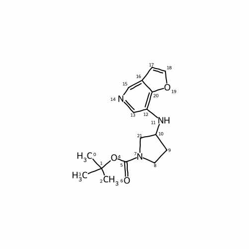 CC(C)(C)OC(=O)N1CCC(Nc2cncc3ccoc23)C1